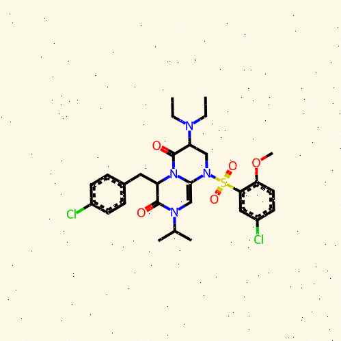 CCN(CC)C1CN(S(=O)(=O)c2cc(Cl)ccc2OC)C2=CN(C(C)C)C(=O)C(Cc3ccc(Cl)cc3)N2C1=O